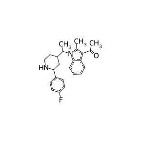 CC(=O)c1c(C)n(C(C)C2CCNC(c3ccc(F)cc3)C2)c2ccccc12